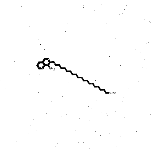 CCCCCCCCCCCCCCCCCCCCCCCCCCCCCCc1ccc2ccccc2c1N